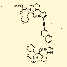 COC(=O)N[C@H](C(=O)N1C(C)CC[C@H]1c1ncc(C#Cc2ccc3cc(-c4cnc([C@@H]5CC[C@H](C)N5C(=O)[C@@H](NC(=O)OC)C5CCOCC5)[nH]4)ccc3c2)[nH]1)C1CCOCC1